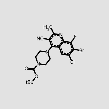 Cc1nc2c(F)c(Br)c(Cl)cc2c(N2CCN(C(=O)OC(C)(C)C)CC2)c1C#N